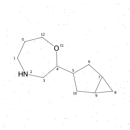 C1CNCC(C2CC3CC3C2)OC1